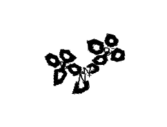 c1cc[n+](C[n+]2ccccc2)cc1.c1ccc([B-](c2ccccc2)(c2ccccc2)c2ccccc2)cc1.c1ccc([B-](c2ccccc2)(c2ccccc2)c2ccccc2)cc1